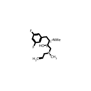 C=CCN(C)C[C@@H](O)[C@H](Cc1cc(F)cc(F)c1)NC